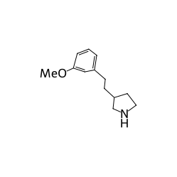 COc1cccc(CCC2CCNC2)c1